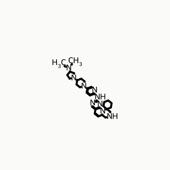 CCN(CC)C1CCN(C2CCN(c3ccc(Nc4ncc5c(n4)N4C(C=C5)CNCC45CCCCC5)nc3)CC2)C1